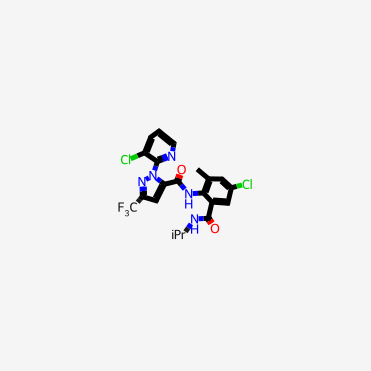 Cc1cc(Cl)cc(C(=O)NC(C)C)c1NC(=O)c1cc(C(F)(F)F)nn1-c1ncccc1Cl